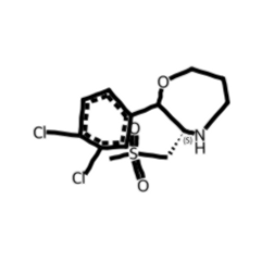 CS(=O)(=O)C[C@H]1NCCCOC1c1ccc(Cl)c(Cl)c1